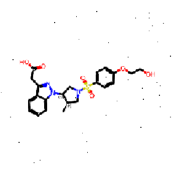 C[C@@H]1CN(S(=O)(=O)c2ccc(OCCO)cc2)C[C@@H]1n1nc(CC(=O)O)c2ccccc21